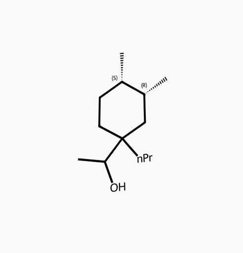 CCCC1(C(C)O)CC[C@H](C)[C@H](C)C1